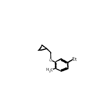 CCc1ccc(C)c(OCC2CC2)c1